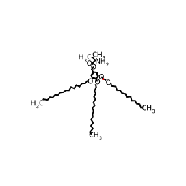 CCCCCCCCCCCCCCCCCCOc1cc(COC(=O)C(N)C(C)C)cc(OCCCCCCCCCCCCCCCCCC)c1OCCCCCCCCCCCCCCCCCC